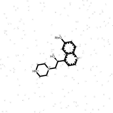 COc1ccc2nccc([C@H](O)CN3CCNCC3)c2c1